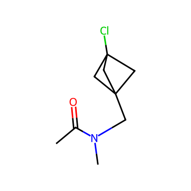 CC(=O)N(C)CC12CC(Cl)(C1)C2